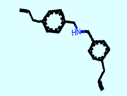 C=CCc1ccc(CNCc2ccc(CC=C)cc2)cc1